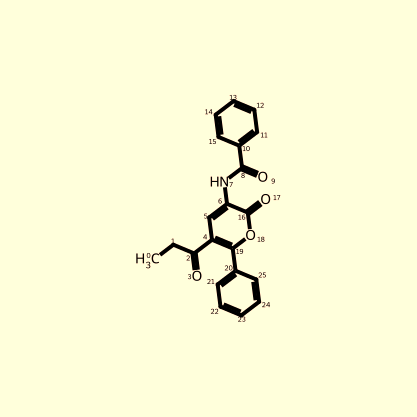 CCC(=O)c1cc(NC(=O)c2ccccc2)c(=O)oc1-c1ccccc1